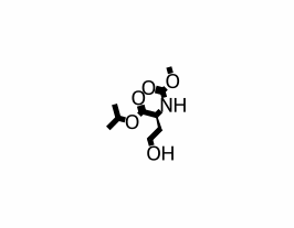 COC(=O)N[C@@H](CCO)C(=O)OC(C)C